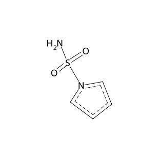 NS(=O)(=O)n1cccc1